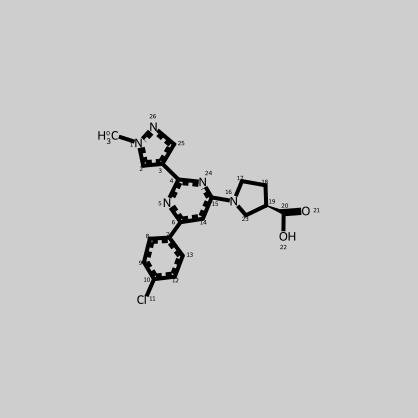 Cn1cc(-c2nc(-c3ccc(Cl)cc3)cc(N3CC[C@@H](C(=O)O)C3)n2)cn1